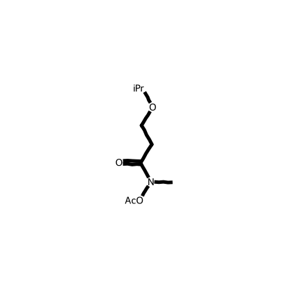 CC(=O)ON(C)C(=O)CCOC(C)C